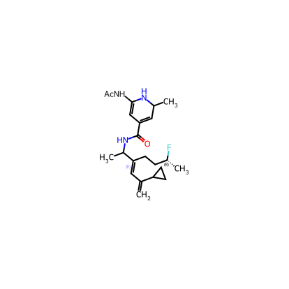 C=C(/C=C(\CC[C@@H](C)F)C(C)NC(=O)C1=CC(C)NC(NC(C)=O)=C1)C1CC1